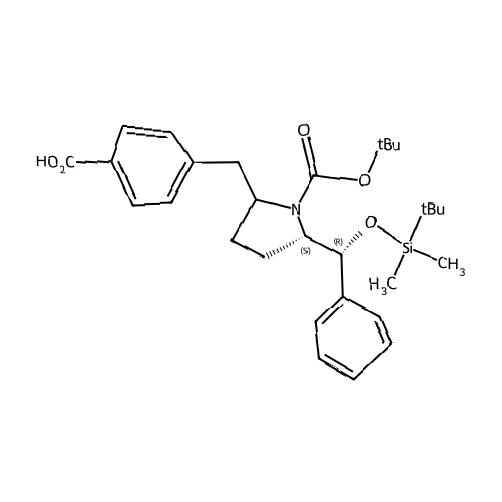 CC(C)(C)OC(=O)N1C(Cc2ccc(C(=O)O)cc2)CC[C@H]1[C@H](O[Si](C)(C)C(C)(C)C)c1ccccc1